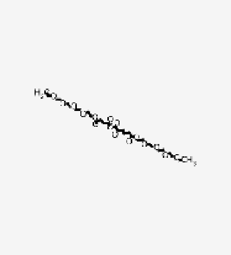 CCOCCOCCOCCOCCOC(=O)CCCC(=O)C(=O)OC(=O)CCC(=O)OCCOCCOCCOCCOCC